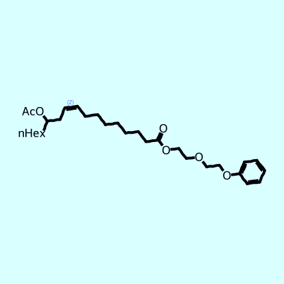 CCCCCCC(C/C=C\CCCCCCCC(=O)OCCOCCOc1ccccc1)OC(C)=O